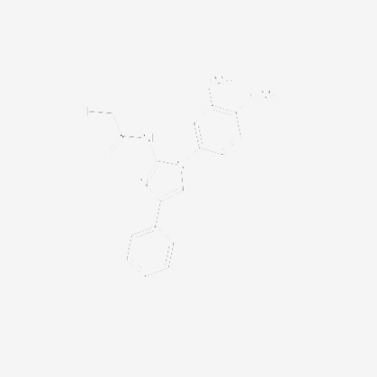 COc1ccc(-n2cc(-c3ccccc3)nc2NC(=O)CCl)cc1OC